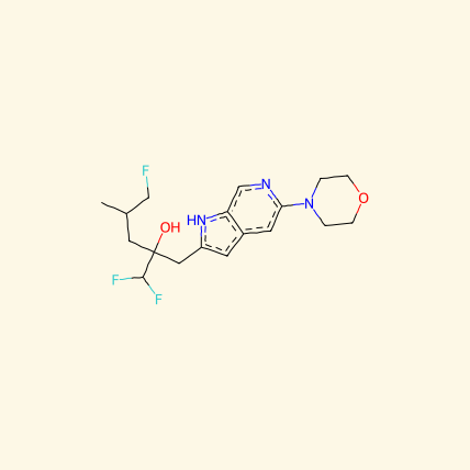 CC(CF)CC(O)(Cc1cc2cc(N3CCOCC3)ncc2[nH]1)C(F)F